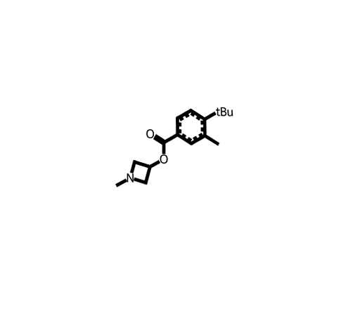 Cc1cc(C(=O)OC2CN(C)C2)ccc1C(C)(C)C